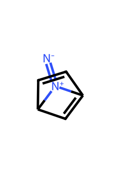 [N-]=[N+]1C2=CC1C=C2